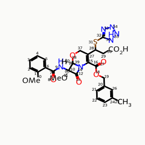 COc1ccccc1C(=O)N[C@]1(OC)C(=O)N2C(C(=O)OCc3cccc(C)c3)=C(C(CC(=O)O)Sc3nnn[nH]3)CO[C@@H]21